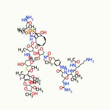 CCN(C(=O)OCc1ccc(NC(=O)[C@H](CCCNC(N)=O)NC(=O)[C@@H](NC(=O)[C@H](CCCCN)NC(C)=O)C(C)C)cc1)[C@H]1CO[C@@H](O[C@H]2[C@H](O[C@H]3C#C/C=C\C#C[C@]4(O)CC(=O)C(NC(=O)OC)=C3/C4=C\CSSC(C)(C)CC(=O)NN)O[C@H](C)[C@@H](NO[C@H]3C[C@H](O)[C@H](SC(=O)c4c(C)c(I)c(O[C@@H]5O[C@@H](C)[C@H](O)[C@@H](OC)[C@H]5O)c(OC)c4OC)[C@@H](C)O3)[C@@H]2O)C[C@@H]1OC